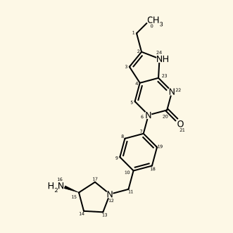 CCc1cc2cn(-c3ccc(CN4CC[C@@H](N)C4)cc3)c(=O)nc2[nH]1